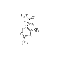 Cc1ccc(C(F)(F)C(N)=O)c(C(F)(F)F)c1